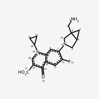 NCC12CC1CN(c1cc3c(cc1F)c(=O)c(C(=O)O)cn3C1CC1)C2